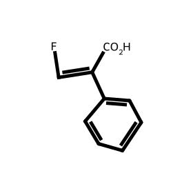 O=C(O)/C(=C\F)c1ccccc1